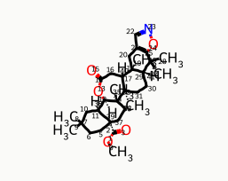 COC(=O)[C@]12CCC(C)(C)C[C@H]1[C@H]1OC(=O)C[C@@H]3[C@@]4(C)Cc5cnoc5C(C)(C)[C@@H]4CC[C@@]3(C)[C@]1(C)CC2